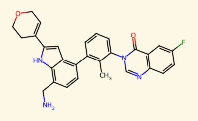 Cc1c(-c2ccc(CN)c3[nH]c(C4=CCOCC4)cc23)cccc1-n1cnc2ccc(F)cc2c1=O